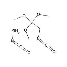 CO[Si](CN=C=O)(OC)OC.O=C=N[SiH3]